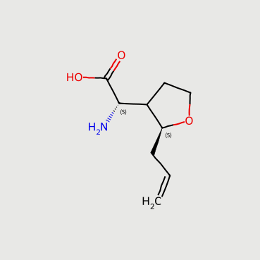 C=CC[C@@H]1OCCC1[C@H](N)C(=O)O